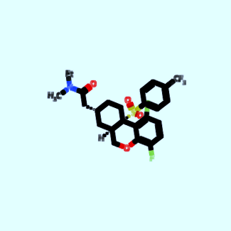 CCN(C)C(=O)C[C@@H]1CC[C@@]2(S(=O)(=O)c3ccc(C(F)(F)F)cc3)c3c(F)ccc(F)c3OC[C@H]2C1